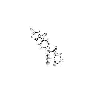 CC(C)CS(=O)(=O)c1ccc(-n2nc(Br)c3ccccc3c2=O)cc1